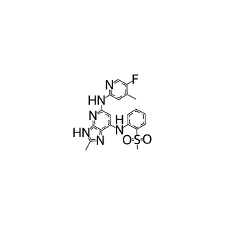 Cc1nc2c(Nc3ccccc3S(C)(=O)=O)cc(Nc3cc(C)c(F)cn3)nc2[nH]1